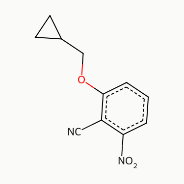 N#Cc1c(OCC2CC2)cccc1[N+](=O)[O-]